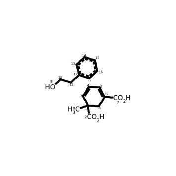 CC1(C(=O)O)C=CC=C(C(=O)O)C1.OCCc1ccccc1